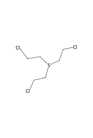 ClCC[S+](CCCl)CCCl